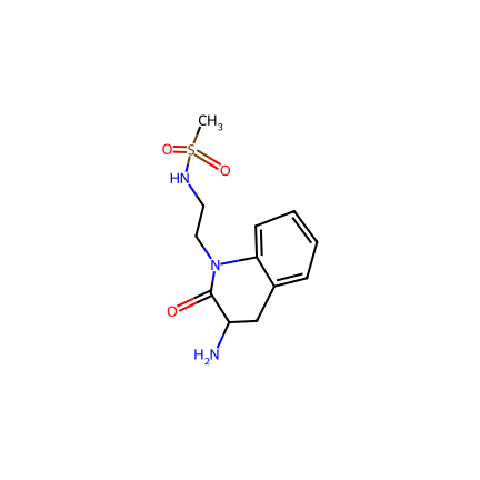 CS(=O)(=O)NCCN1C(=O)C(N)Cc2ccccc21